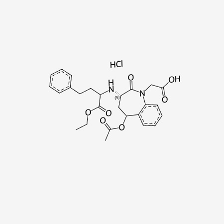 CCOC(=O)C(CCc1ccccc1)N[C@H]1CC(OC(C)=O)c2ccccc2N(CC(=O)O)C1=O.Cl